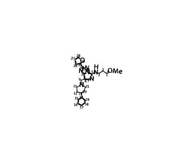 COCCCNc1ncc(CN2CCC(c3ccccc3)CC2)c2nc(-c3ccco3)nn12